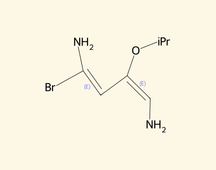 CC(C)OC(/C=C(\N)Br)=C/N